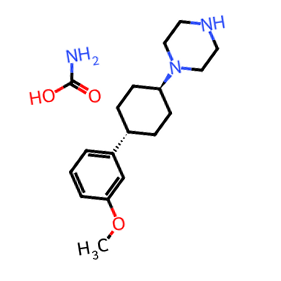 COc1cccc([C@H]2CC[C@H](N3CCNCC3)CC2)c1.NC(=O)O